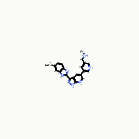 COc1ccc2[nH]c(-c3n[nH]c4ncc(-c5cncc(CNC(C)C)c5)cc34)nc2c1